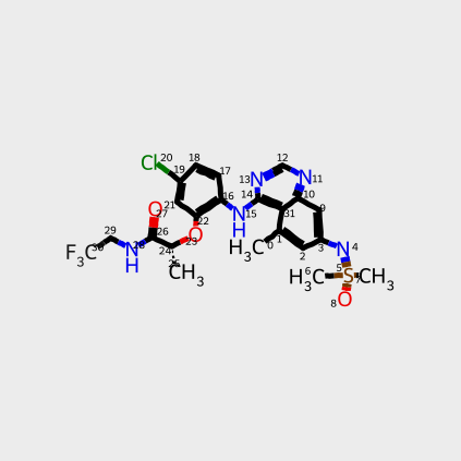 Cc1cc(N=S(C)(C)=O)cc2ncnc(Nc3ccc(Cl)cc3O[C@H](C)C(=O)NCC(F)(F)F)c12